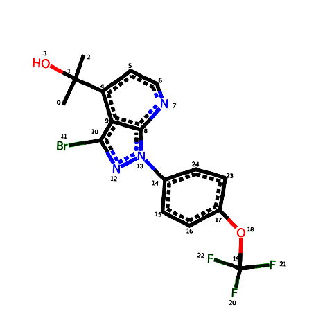 CC(C)(O)c1ccnc2c1c(Br)nn2-c1ccc(OC(F)(F)F)cc1